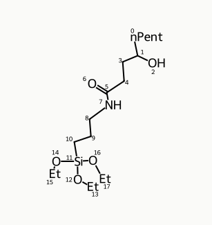 CCCCCC(O)CCC(=O)NCCC[Si](OCC)(OCC)OCC